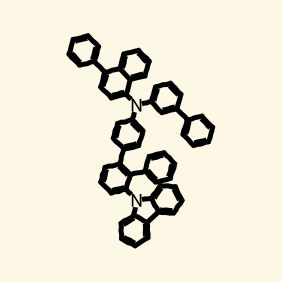 c1ccc(-c2cccc(N(c3ccc(-c4cccc(-n5c6ccccc6c6ccccc65)c4-c4ccccc4)cc3)c3ccc(-c4ccccc4)c4ccccc34)c2)cc1